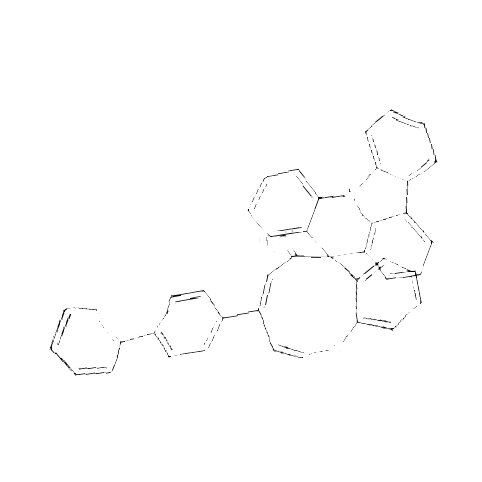 C=C1/C=C(c2ccc(-c3ccccc3)cc2)\C=C/Sc2ccccc2C12c1ccccc1-n1c3ccccc3c3cccc2c31